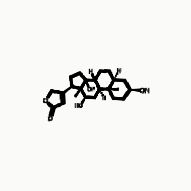 C[C@]12CC[C@H](O)C[C@@H]1CC[C@@H]1[C@@H]2C[C@@H](O)[C@]2(C)[C@@H](C3=CC(=O)OC3)CC[C@]12O